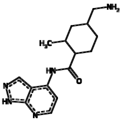 CC1CC(CN)CCC1C(=O)Nc1ccnc2[nH]ncc12